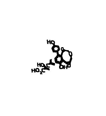 C=C(C)C(=O)O.C=C(C)C(=O)O.Oc1ccc(-c2ccc(O)c3c2C2OC2COCC2OC32)cc1